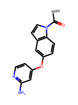 CNC(=O)n1ccc2cc(Oc3ccnc(N)c3)ccc21